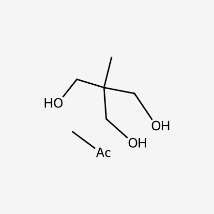 CC(C)=O.CC(CO)(CO)CO